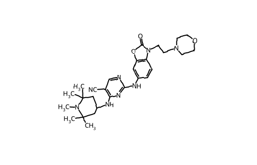 CN1C(C)(C)CC(Nc2nc(Nc3ccc4c(c3)oc(=O)n4CCN3CCOCC3)ncc2C#N)CC1(C)C